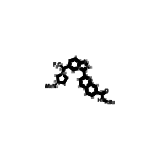 CN[C@H]1CCN([C@H](c2ccc3nnc(-c4ccc5ccc(C(=O)NC(C)(C)C)cc5n4)n3c2)C(F)(F)F)C1